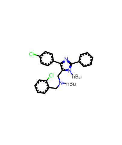 CCCCN(Cc1ccccc1Cl)Cc1c(-c2ccc(Cl)cc2)nc(-c2ccccc2)n1CCCC